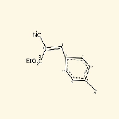 CCOC(=O)/C(C#N)=C\c1ccc(C)cc1